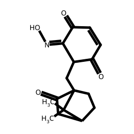 CC1(C)C2CCC1(CC1C(=O)C=CC(=O)C1=NO)C(=O)C2